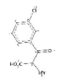 CCCC(C(=O)O)C(=O)c1cccc(Cl)c1